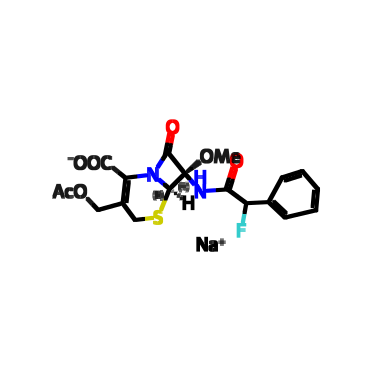 CO[C@]1(NC(=O)C(F)c2ccccc2)C(=O)N2C(C(=O)[O-])=C(COC(C)=O)CS[C@@H]21.[Na+]